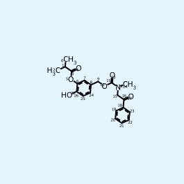 CC(C)C(=O)Oc1cc(COC(=O)N(C)CC(=O)c2ccccc2)ccc1O